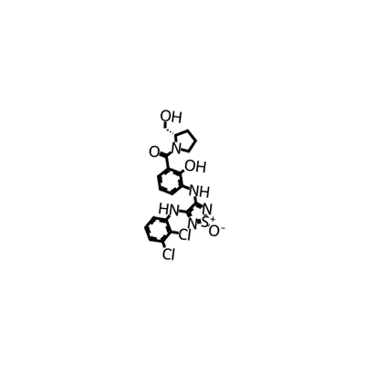 O=C(c1cccc(Nc2n[s+]([O-])nc2Nc2cccc(Cl)c2Cl)c1O)N1CCC[C@H]1CO